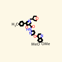 COc1cc2nccc(Oc3ccc(NC(=O)c4cn(CC5CCOCC5)cc(-c5ccc(C)cc5)c4=O)nc3)c2cc1OC